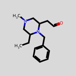 CCC1CN(C)CC(CC=O)N1Cc1ccccc1